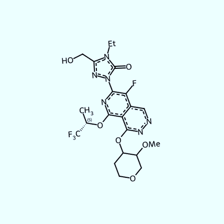 CCn1c(CO)nn(-c2nc(O[C@@H](C)C(F)(F)F)c3c(OC4CCOCC4OC)nncc3c2F)c1=O